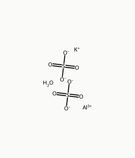 O.O=S(=O)([O-])[O-].O=S(=O)([O-])[O-].[Al+3].[K+]